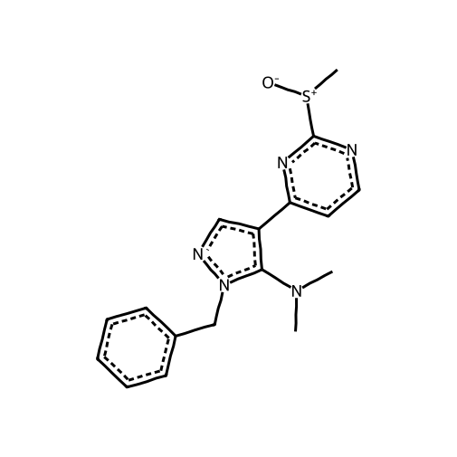 CN(C)c1c(-c2ccnc([S+](C)[O-])n2)cnn1Cc1ccccc1